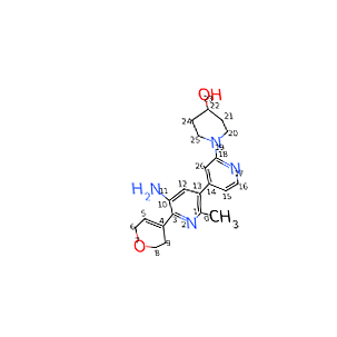 Cc1nc(C2=CCOCC2)c(N)cc1-c1ccnc(N2CCC(O)CC2)c1